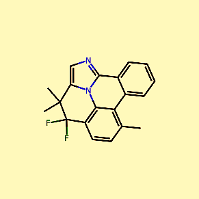 Cc1ccc2c3c1c1ccccc1c1ncc(n13)C(C)(C)C2(F)F